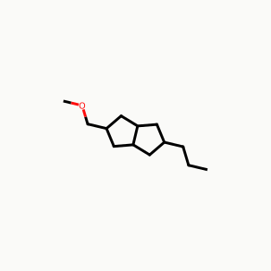 CCCC1CC2CC(COC)CC2C1